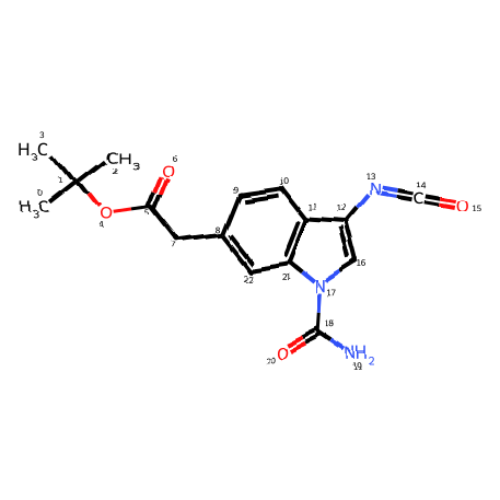 CC(C)(C)OC(=O)Cc1ccc2c(N=C=O)cn(C(N)=O)c2c1